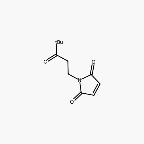 CC(C)(C)C(=O)CCN1C(=O)C=CC1=O